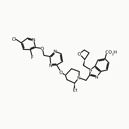 CC[C@H]1C[C@@H](Oc2ccnc(COc3ncc(Cl)cc3F)n2)CCN1Cc1nc2ccc(C(=O)O)cc2n1C[C@@H]1CCO1